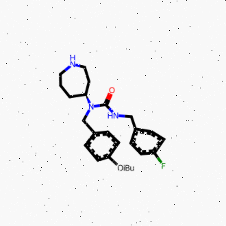 CC(C)COc1ccc(CN(C(=O)NCc2ccc(F)cc2)[C@H]2CCCNCC2)cc1